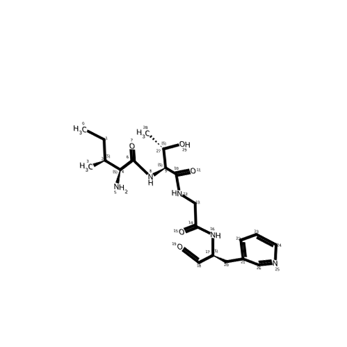 CC[C@H](C)[C@H](N)C(=O)N[C@H](C(=O)NCC(=O)N[C@H]([C]=O)Cc1cccnc1)[C@H](C)O